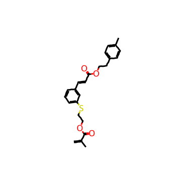 C=C(C)C(=O)OCCSc1cccc(/C=C/C(=O)OCCc2ccc(C)cc2)c1